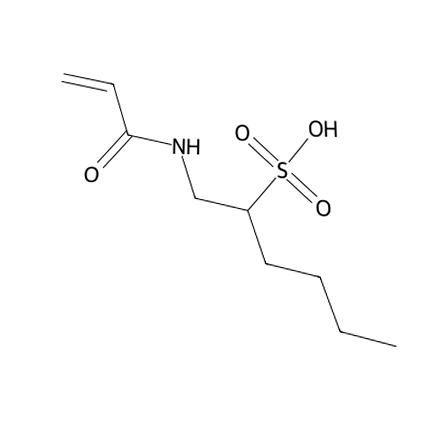 C=CC(=O)NCC(CCCC)S(=O)(=O)O